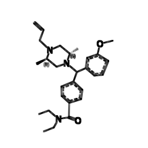 C=CCN1C[C@H](C)N(C(c2ccc(C(=O)N(CC)CC)cc2)c2cccc(OC)c2)C[C@H]1C